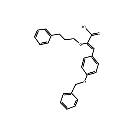 O=C(O)/C(=C/c1ccc(OCc2ccccc2)cc1)OCCCc1ccccc1